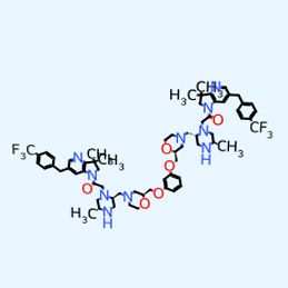 C[C@@H]1CN(CC(=O)N2CC(C)(C)c3ncc(Cc4ccc(C(F)(F)F)cc4)cc32)[C@@H](CN2CCO[C@H](COc3cccc(OC[C@@H]4CN(C[C@H]5CN[C@H](C)CN5CC(=O)N5CC(C)(C)c6ncc(Cc7ccc(C(F)(F)F)cc7)cc65)CCO4)c3)C2)CN1